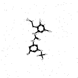 O=C(Nc1cc(Br)cc(OC(F)(F)F)c1)Nc1cc(Cl)cc(Cl)c1CCO